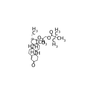 CC[C@H]1C[C@H]2[C@@H]3CCC4=CC(=O)CC[C@@H]4[C@H]3CC[C@]2(C)[C@H]1OC(=O)COC(=O)C(C)(C)C